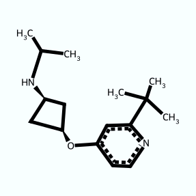 CC(C)N[C@H]1C[C@@H](Oc2ccnc(C(C)(C)C)c2)C1